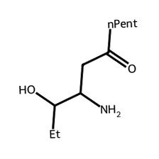 CCCCCC(=O)CC(N)C(O)CC